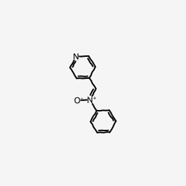 [O-][N+](=Cc1ccncc1)c1ccccc1